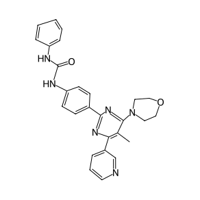 Cc1c(-c2cccnc2)nc(-c2ccc(NC(=O)Nc3ccccc3)cc2)nc1N1CCOCC1